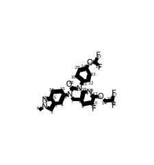 Cn1cc2cc(N3Cc4cc(F)c(OCC(F)F)nc4N(c4ccc(OC(F)F)cc4)C3=O)ccc2n1